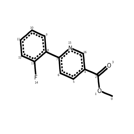 COC(=O)c1ccc(-c2ccccc2F)nc1